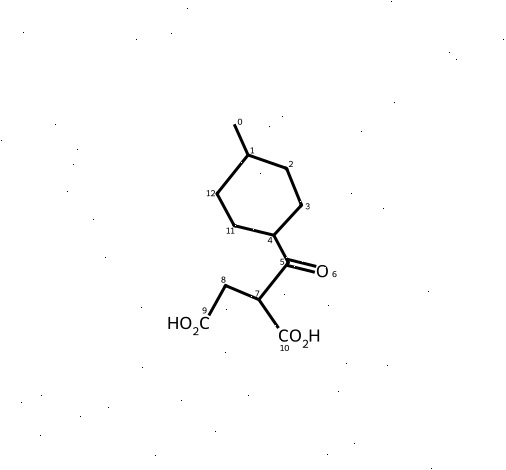 CC1CCC(C(=O)C(CC(=O)O)C(=O)O)CC1